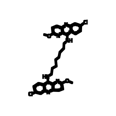 COc1ccc2nc3cc(Cl)ccc3c(NCCCCCCCCNc3c4ccc(Cl)cc4nc4ccc(OC)nc34)c2n1